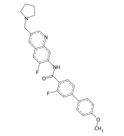 COc1ccc(-c2ccc(C(=O)Nc3cc4ncc(CN5CCCC5)cc4cc3F)c(F)c2)cc1